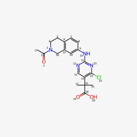 CC(=O)N1CCc2ccc(Nc3ncc(C(C)(C)C(=O)O)c(Cl)n3)cc2C1